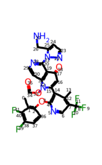 Cc1c(Oc2ncc(C(F)(F)F)c(C)c2-c2cc(=O)c3c(-n4nccc4CN)nccc3n2OC=O)ccc(F)c1F